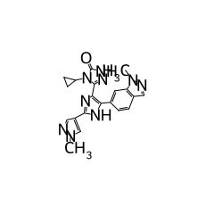 Cn1cc(-c2nc(-c3n[nH]c(=O)n3C3CC3)c(-c3ccc4cnn(C)c4c3)[nH]2)cn1